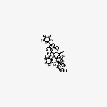 C=CCC(C(=O)N1C(=O)OC(c2ccccc2)C1C)C(O)[C@@H]1OC(C)(C)N(C(=O)OC(C)(C)C)[C@@H]1CC1CCCCC1